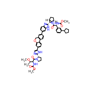 COC(=O)NC(C(=O)N1CCC[C@H]1c1ncc(-c2ccc3c(c2)OCc2cc(-c4ccc5nc([C@@H]6[C@H]7CC[C@H](C7)N6C(=O)[C@H](NC(=O)OC)c6cccc(C7CCCC7)c6)[nH]c5c4)ccc2-3)[nH]1)[C@@H](C)OC